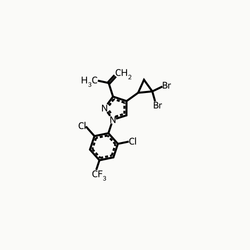 C=C(C)c1nn(-c2c(Cl)cc(C(F)(F)F)cc2Cl)cc1C1CC1(Br)Br